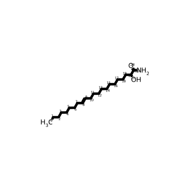 CCCCCCCCC=CCCCCCCCCCCC(O)C(N)=O